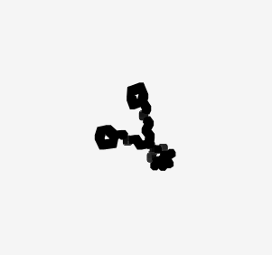 CC1(C)OB(C(=CCCOCc2ccccc2)CCOCc2ccccc2)OC1(C)C